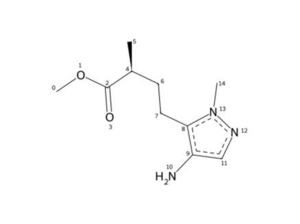 COC(=O)[C@@H](C)CCc1c(N)cnn1C